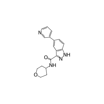 O=C(NC1CCOCC1)c1n[nH]c2ccc(-c3cccnc3)cc12